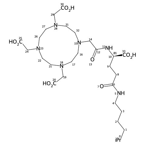 CC(C)CCCCNC(=O)CC[C@@H](NC(=O)CN1CCN(CC(=O)O)CCN(CC(=O)O)CCN(CC(=O)O)CC1)C(=O)O